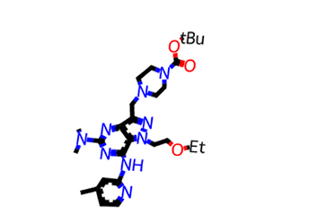 CCOCCn1nc(CN2CCN(C(=O)OC(C)(C)C)CC2)c2nc(N(C)C)nc(Nc3cc(C)ccn3)c21